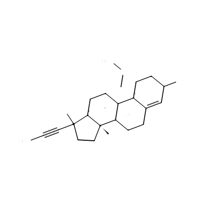 CC#CC1(O)CC[C@H]2[C@@H]3CCC4=CC(O)CC[C@]4(CSC)[C@@H]3CC[C@@]21C